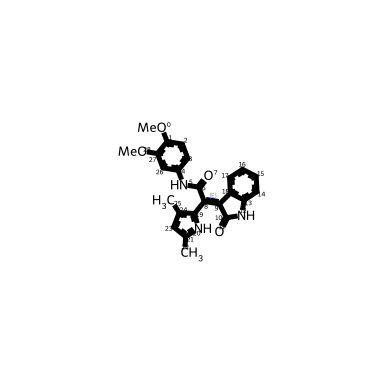 COc1ccc(NC(=O)/C(=C2/C(=O)Nc3ccccc32)c2[nH]c(C)cc2C)cc1OC